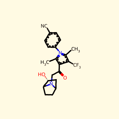 Cc1c(C(=O)CN2C3CCC2[C@H](O)C3)c(C(F)(F)F)c(C)n1-c1ccc(C#N)cc1